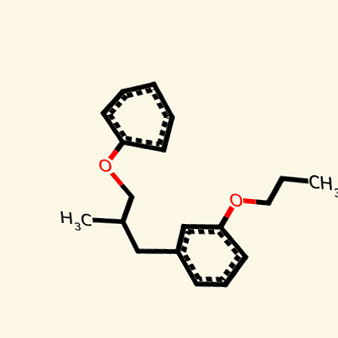 CCCOc1cccc(CC(C)COc2ccccc2)c1